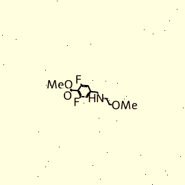 COCCNCc1cc(F)c(C(=O)OC)c(F)c1